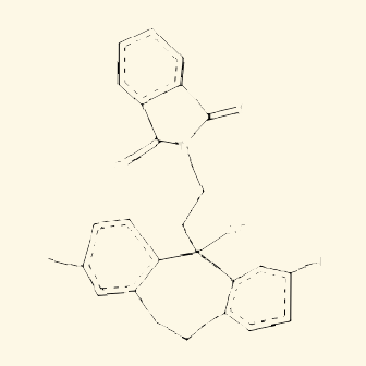 [C-]#[N+]C1(CCN2C(=O)c3ccccc3C2=O)c2ccc(F)cc2CCc2ccc(F)cc21